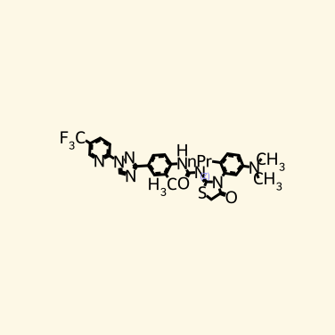 CCCc1ccc(N(C)C)cc1N1C(=O)CS/C1=N\C(=O)Nc1ccc(-c2ncn(-c3ccc(C(F)(F)F)cn3)n2)cc1C